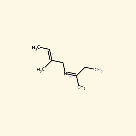 C/C=C(\C)C/N=C(/C)CC